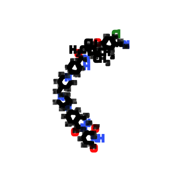 CC1(C)[C@H](NC(=O)c2ccc(N3CCC(CN4CC5CC4CN5c4ccc5c(=O)n(C6CCC(=O)NC6=O)ncc5c4)CC3)cc2)C(C)(C)[C@H]1Oc1ccc(C#N)c(Cl)c1